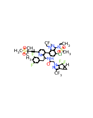 C=CN(c1nn(CC(F)(F)F)c2c(-c3ccc(C#CC(C)(C)S(C)(=O)=O)nc3[C@H](Cc3cc(F)cc(F)c3)NC(=O)Cn3nc(C(F)(F)F)c4c3C(F)(F)[C@@H]3CC43)ccc(Cl)c12)S(C)(=O)=O